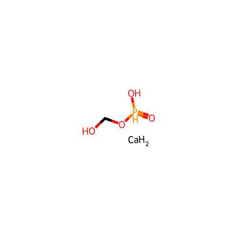 O=[PH](O)OCO.[CaH2]